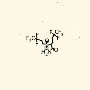 NC(=O)C(CCC(F)(F)C(F)(F)F)S(=O)(=O)CCC(F)(F)C(F)(F)F